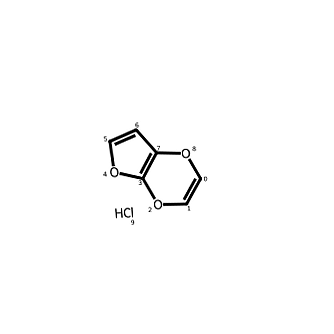 C1=COc2occc2O1.Cl